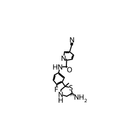 CC1(c2cc(NC(=O)c3ccc(C#N)cn3)ccc2F)CNC[C@H](N)S1